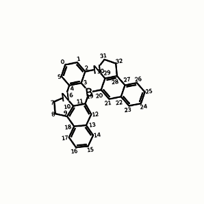 c1cc2c3c(c1)N1CCc4c1c(cc1ccccc41)B3c1cc3ccccc3c3c1N2CC3